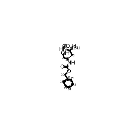 CC(C)(C)C(C[C@H](CO)NC(=O)OCc1ccccc1)NC(=O)O